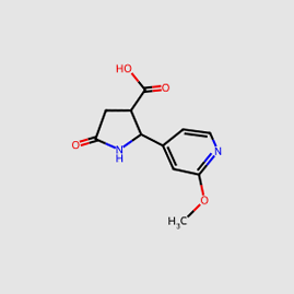 COc1cc(C2NC(=O)CC2C(=O)O)ccn1